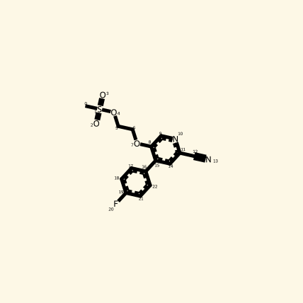 CS(=O)(=O)OCCOc1cnc(C#N)cc1-c1ccc(F)cc1